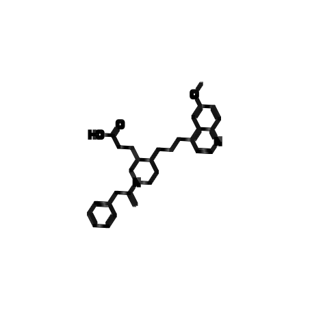 C=C(Cc1ccccc1)N1CCC(CCCc2ccnc3ccc(OC)cc23)C(CCC(=O)O)C1